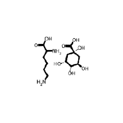 NCCCCC(N)C(=O)O.O=C(O)[C@@]1(O)CC(O)[C@H](O)[C@H](O)C1